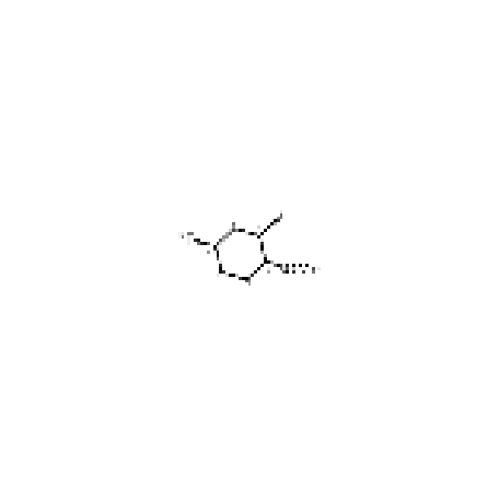 COC1CC[C@@H](F)C[C@H]1C